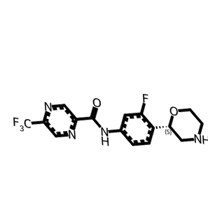 O=C(Nc1ccc([C@H]2CNCCO2)c(F)c1)c1cnc(C(F)(F)F)cn1